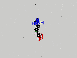 C=C/N=C(/C(=N)Nc1cccc(-c2cccc(/C=C(\F)c3ccc(C(=O)OC)c(OC)c3)c2C)c1C)C(C)(C)C